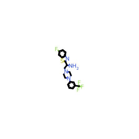 NC(CN1CCN(c2cccc(C(F)(F)F)c2)CC1)c1nc2ccc(F)cc2s1